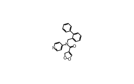 O=C(C1=COOC1)N(Cc1ccccc1-c1ccccc1)c1ccncc1